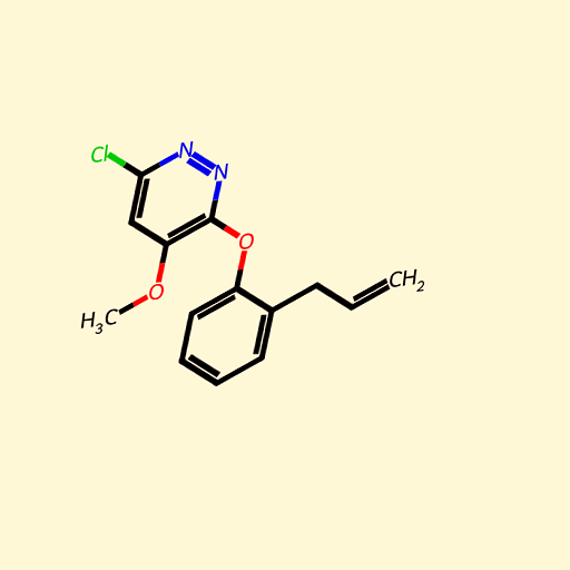 C=CCc1ccccc1Oc1nnc(Cl)cc1OC